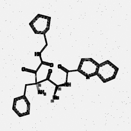 CC[C@H](C)[C@H](NC(=O)c1ccc2ccccc2n1)C(=O)[C@@](N)(Cc1ccccc1)C(=O)C(=O)NCc1ccccc1